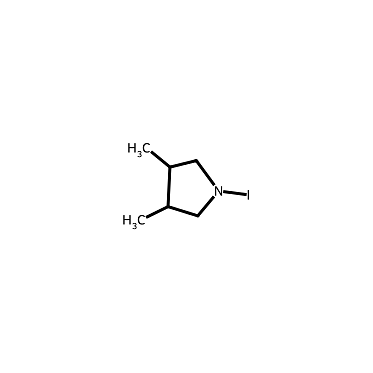 CC1CN(I)CC1C